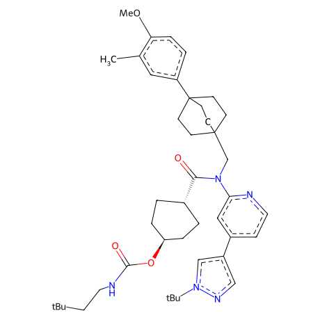 COc1ccc(C23CCC(CN(c4cc(-c5cnn(C(C)(C)C)c5)ccn4)C(=O)[C@H]4CC[C@H](OC(=O)NCCC(C)(C)C)CC4)(CC2)CC3)cc1C